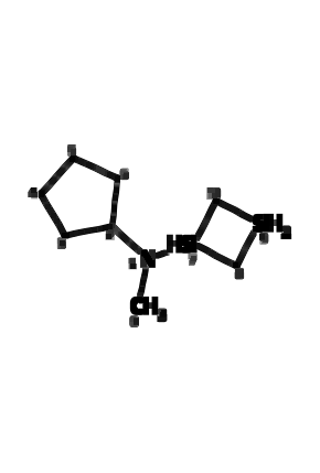 CN(C1CCCC1)[SiH]1C[SiH2]C1